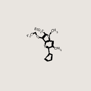 CCOC(=O)c1c(OCC(F)(F)F)c2nc(-c3ccccc3)c(C)cc2n1C